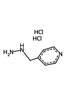 Cl.Cl.NNCc1ccncc1